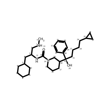 CNCC(CC1CCCCC1)NC(=O)N1CCCC([C@@](O)(CCCCC2CC2)c2ccccc2)C1